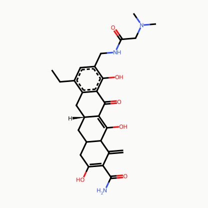 C=C1C(C(N)=O)=C(O)CC2C[C@@H]3Cc4c(CC)cc(CNC(=O)CN(C)C)c(O)c4C(=O)C3=C(O)C12